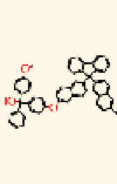 COc1ccc(C(O)(c2ccccc2)c2ccc(Oc3ccc4cc(C5(c6ccc7cc(C)ccc7c6)c6ccccc6-c6ccccc65)ccc4c3)cc2)cc1